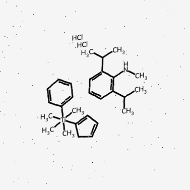 CNc1c(C(C)C)cccc1C(C)C.Cl.Cl.[CH3][Ti]([CH3])([CH3])([CH3])([C]1=CC=CC1)[c]1ccccc1